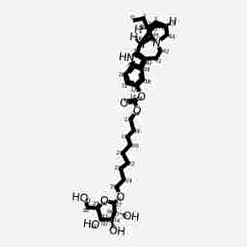 CC[C@H]1C[C@H]2C[C@H]3c4[nH]c5ccc(OC(=O)OCCCCCCCCCOC6OC(CO)[C@@H](O)[C@H](O)[C@H]6O)cc5c4CCN(C2)C13